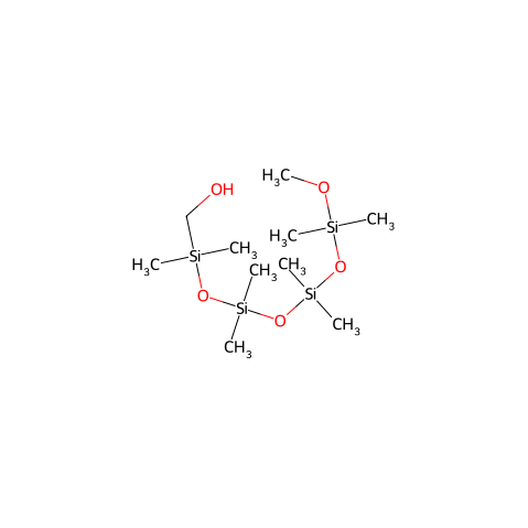 CO[Si](C)(C)O[Si](C)(C)O[Si](C)(C)O[Si](C)(C)CO